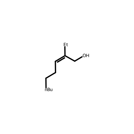 CCCCCCC=C(CC)CO